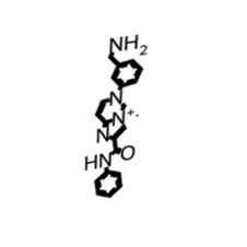 NCc1cccc(N2C=CC3=NC(C(=O)Nc4ccccc4)=C[N+]3C2)c1